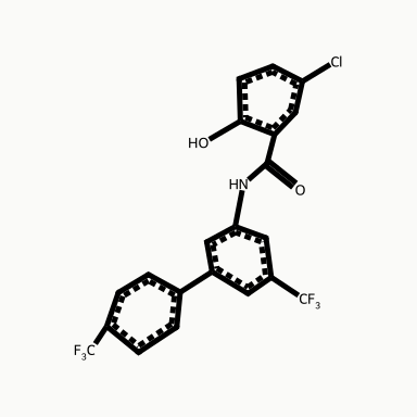 O=C(Nc1cc(-c2ccc(C(F)(F)F)cc2)cc(C(F)(F)F)c1)c1cc(Cl)ccc1O